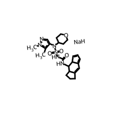 Cc1c(N(C2CCOCC2)S(=O)(=O)NC(=O)NC2C3C=CC=C3C=C3CCCC32)cnn1C.[NaH]